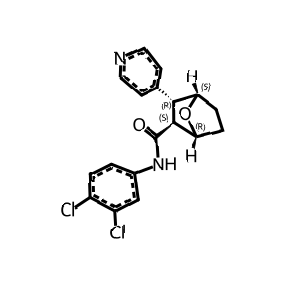 O=C(Nc1ccc(Cl)c(Cl)c1)[C@H]1[C@H](c2ccncc2)[C@@H]2CC[C@H]1O2